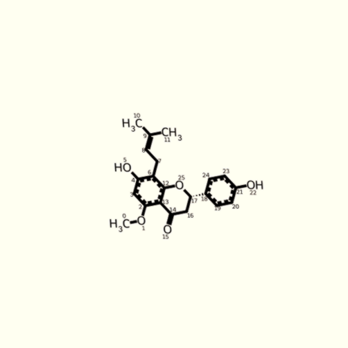 COc1cc(O)c(CC=C(C)C)c2c1C(=O)C[C@@H](c1ccc(O)cc1)O2